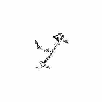 CC(=O)CC(=O)CCc1ccc(NC(=O)CCCCSC2CC(=O)N(CCC(=O)N[C@@H](CCCCNC(=O)Cn3cc(CNC(=O)CN4CCN(CC(=O)O)CCN(CC(=O)O)CCN(CC(=O)O)CC4)nn3)C(=O)NCCOCCC(=O)NCCCC[C@@H]3NC(=O)[C@@H](Cc4ccccc4)NC(=O)[C@H](CC(=O)O)NC(=O)CNC(=O)[C@H](CCCNC(=N)N)NC3=O)C2=O)cc1